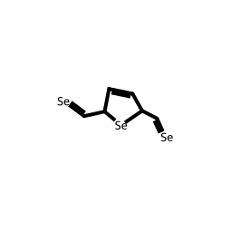 [Se]=CC1C=CC(C=[Se])[Se]1